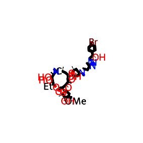 CC[C@H]1OC(=O)[C@H](C)[C@@H](O[C@H]2C[C@@](C)(OC)[C@@H](O)[C@H](C)O2)[C@H](C)[C@@H](O[C@H]2C[C@@H](N(C)CCc3cn(C[C@@H](O)c4ccc(Br)cc4)nn3)C[C@@H](C)O2)[C@](C)(O)C[C@@H](C)CN(C)[C@H](C)[C@@H](O)[C@]1(C)O